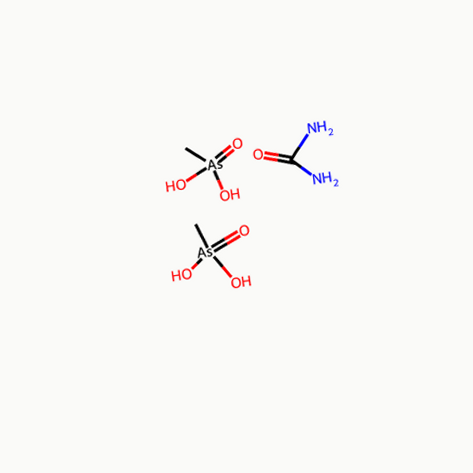 C[As](=O)(O)O.C[As](=O)(O)O.NC(N)=O